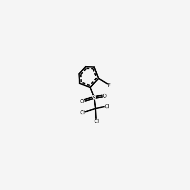 O=S(=O)(c1ccccc1F)C(Cl)(Cl)Cl